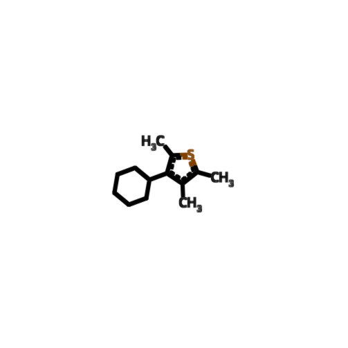 Cc1sc(C)c(C2CCCCC2)c1C